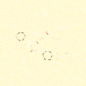 CCN(CC)S(=O)(=O)c1ccc(CNC(=O)[C@H](Cc2ccc(C(F)(F)F)cc2)NC(=O)[C@@H](N)CC(=O)N(CCN)CCN)cc1